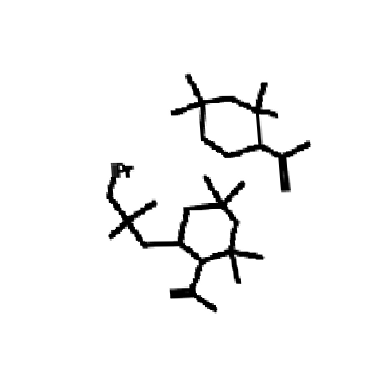 C=C(C)C1C(CC(C)(C)CC(C)C)CC(C)(C)CC1(C)C.C=C(C)C1CCC(C)(C)CC1(C)C